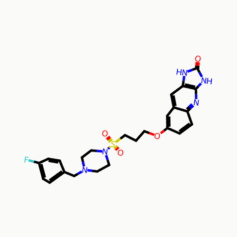 O=c1[nH]c2cc3cc(OCCCS(=O)(=O)N4CCN(Cc5ccc(F)cc5)CC4)ccc3nc2[nH]1